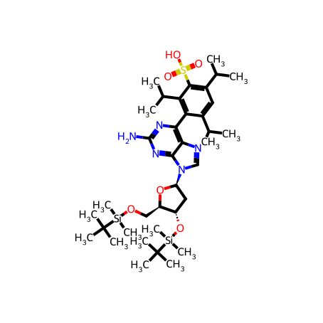 CC(C)c1cc(C(C)C)c(S(=O)(=O)O)c(C(C)C)c1-c1nc(N)nc2c1ncn2[C@H]1C[C@H](O[Si](C)(C)C(C)(C)C)[C@@H](CO[Si](C)(C)C(C)(C)C)O1